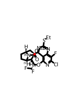 CCSc1nc2c3c(nc(Cl)c(F)c3n1)O[C@H](C(F)F)[C@@H]1[C@@H]3CC[C@H](CN21)N3C(=O)OC(C)(C)C